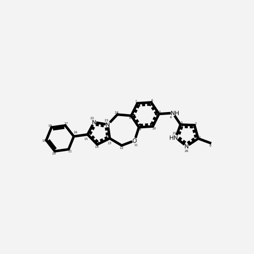 Cc1cc(Nc2ccc3c(c2)OCc2cc(C4C=CC=CC4)nn2C3)[nH]n1